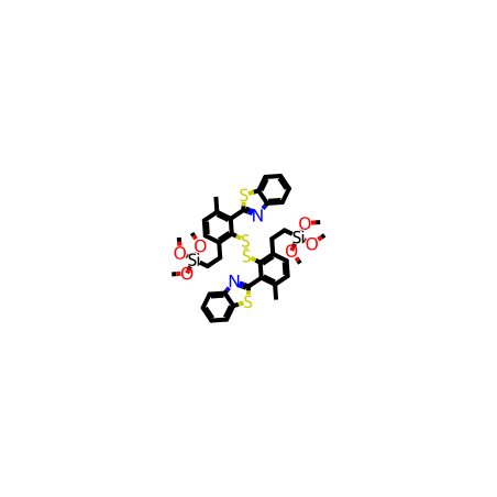 CO[Si](CCc1ccc(C)c(-c2nc3ccccc3s2)c1SSc1c(CC[Si](OC)(OC)OC)ccc(C)c1-c1nc2ccccc2s1)(OC)OC